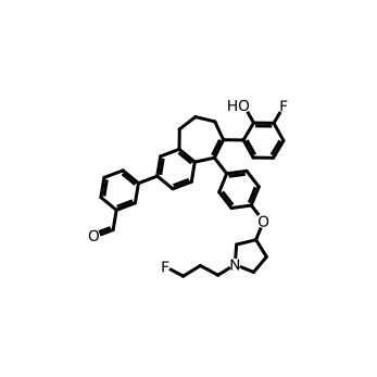 O=Cc1cccc(-c2ccc3c(c2)CCCC(c2cccc(F)c2O)=C3c2ccc(OC3CCN(CCCF)C3)cc2)c1